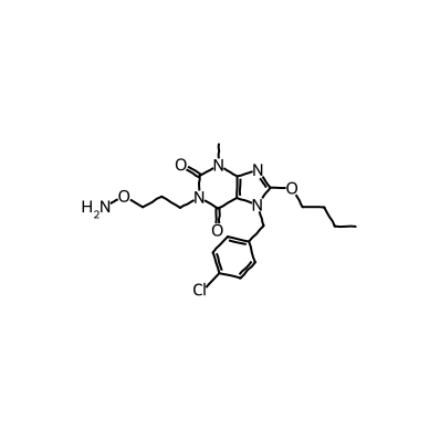 CCCCOc1nc2c(c(=O)n(CCCON)c(=O)n2C)n1Cc1ccc(Cl)cc1